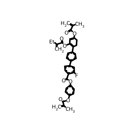 C=C(C)C(=O)OC1=CC(OC(=O)C(=C)CC)=C(c2ccc(-c3ccc(C(=O)Oc4ccc(OC(=O)C(=C)C)cc4)c(F)c3)cc2)CC1